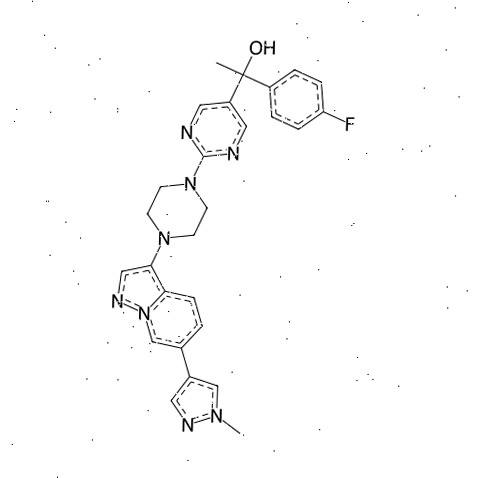 Cn1cc(-c2ccc3c(N4CCN(c5ncc(C(C)(O)c6ccc(F)cc6)cn5)CC4)cnn3c2)cn1